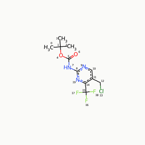 CC(C)(C)OC(=O)Nc1ncc(CCl)c(C(F)(F)F)n1